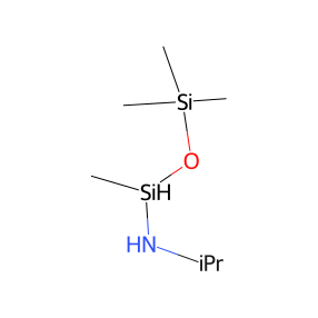 CC(C)N[SiH](C)O[Si](C)(C)C